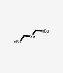 CCCCC[Se]CCCCC